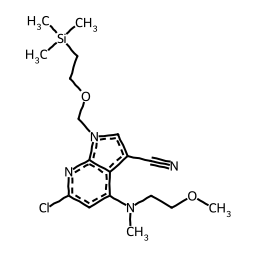 COCCN(C)c1cc(Cl)nc2c1c(C#N)cn2COCC[Si](C)(C)C